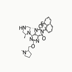 C[C@H]1CNC[C@H](C)N1c1nc(OCC2CCCN2C)nc2c(=O)n(-c3cccc4cccc(F)c34)c(C(F)(F)F)nc12